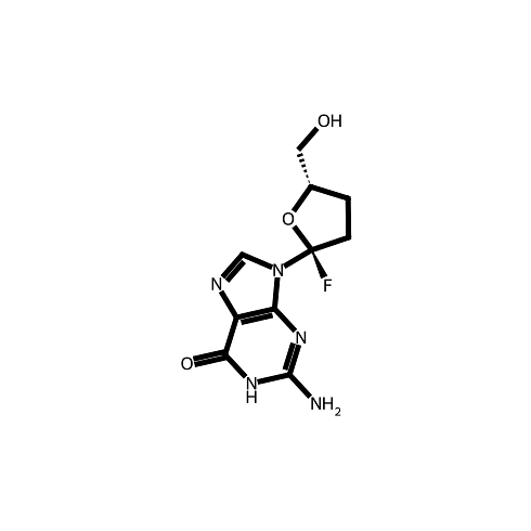 Nc1nc2c(ncn2[C@@]2(F)CC[C@@H](CO)O2)c(=O)[nH]1